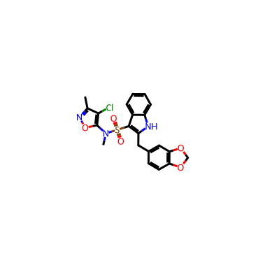 Cc1noc(N(C)S(=O)(=O)c2c(Cc3ccc4c(c3)OCO4)[nH]c3ccccc23)c1Cl